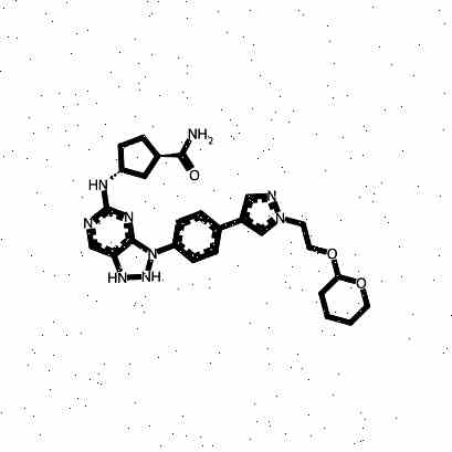 NC(=O)[C@@H]1CC[C@@H](Nc2ncc3c(n2)N(c2ccc(-c4cnn(CCOC5CCCCO5)c4)cc2)NN3)C1